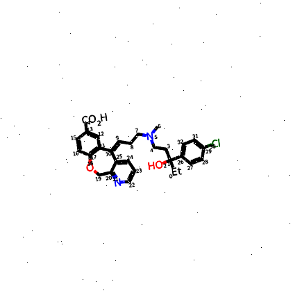 CCC(O)(CCN(C)CC/C=C1/c2cc(C(=O)O)ccc2OCc2ncccc21)c1ccc(Cl)cc1